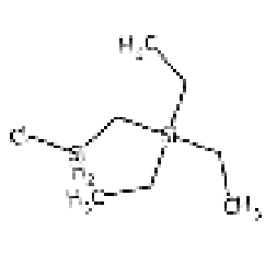 CC[Si](CC)(CC)C[SiH2]Cl